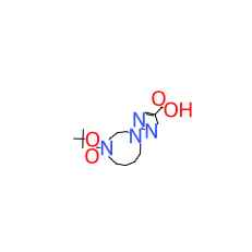 CC(C)(C)OC(=O)N1CCCCCCN(c2ncc(C(=O)O)cn2)CCC1